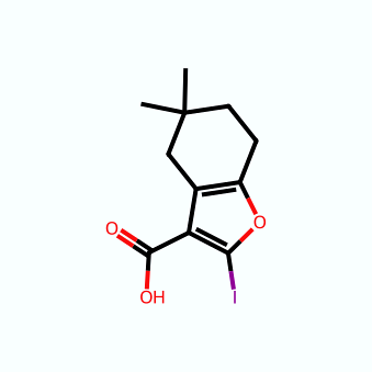 CC1(C)CCc2oc(I)c(C(=O)O)c2C1